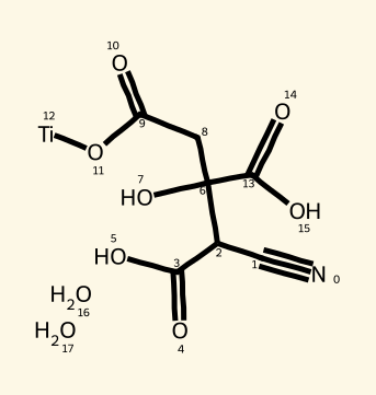 N#CC(C(=O)O)C(O)(CC(=O)[O][Ti])C(=O)O.O.O